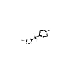 Cc1nnc(C(F)(F)c2ccc(Cl)cc2)o1